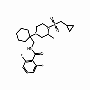 CC1CN(C2(CNC(=O)c3c(F)cccc3F)CCCCC2)CCN1S(=O)(=O)CC1CC1